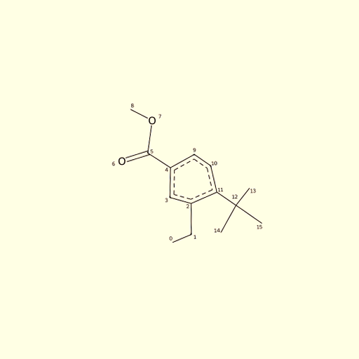 CCc1cc(C(=O)OC)ccc1C(C)(C)C